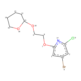 Clc1cc(Br)cc(OCCOC2CCCCO2)n1